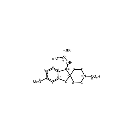 COc1cc2c(cn1)[C@@H](N[S@+]([O-])C(C)(C)C)C1(CCN(C(=O)O)CC1)C2